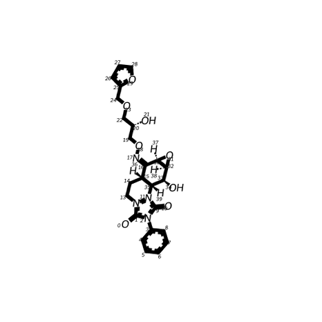 O=c1n(-c2ccccc2)c(=O)n2n1CC[C@@H]1/C(=N/OC[C@@H](O)COCc3ccco3)[C@H]3O[C@H]3[C@@H](O)[C@@H]12